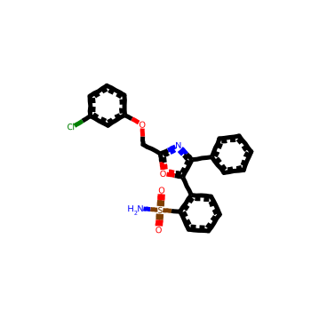 NS(=O)(=O)c1ccccc1-c1oc(COc2cccc(Cl)c2)nc1-c1ccccc1